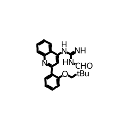 CC(C)(C)COc1ccccc1-c1cc(NC(=N)NC=O)c2ccccc2n1